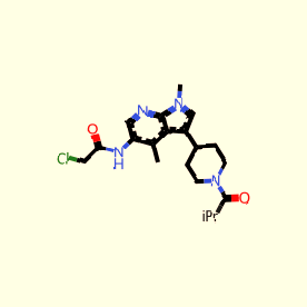 Cc1c(NC(=O)CCl)cnc2c1c(C1CCN(C(=O)C(C)C)CC1)cn2C